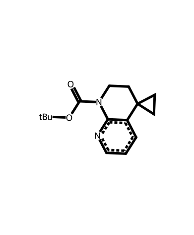 CC(C)(C)OC(=O)N1CCC2(CC2)c2cccnc21